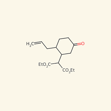 C=CCC1CCC(=O)CC1C(C(=O)OCC)C(=O)OCC